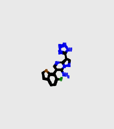 Nc1c(-c2c(F)ccc3ccsc23)cnc2c(-c3nnn[nH]3)cnn12